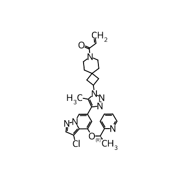 C=CC(=O)N1CCC2(CC1)CC(n1nnc(-c3cc(O[C@H](C)c4ccccn4)c4c(Cl)cnn4c3)c1C)C2